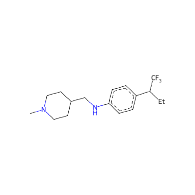 CCC(c1ccc(NCC2CCN(C)CC2)cc1)C(F)(F)F